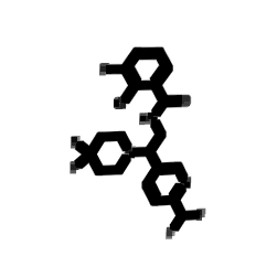 O=C(NCC(c1ccc(C(F)F)nc1)N1CCC(F)(F)CC1)c1cccc(F)c1Cl